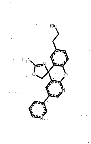 CC(C)(C)CCc1ccc2c(c1)C1(COC(N)=N1)c1cc(-c3cccnc3)cnc1O2